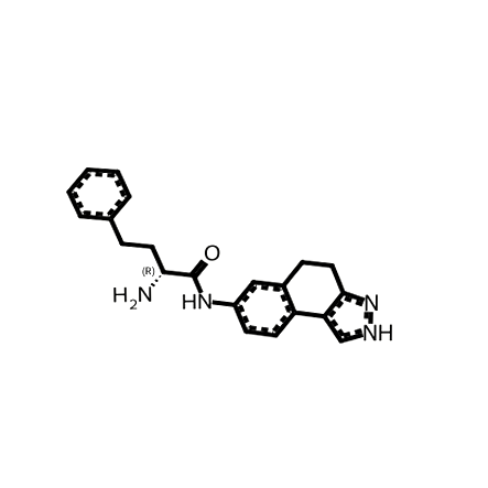 N[C@H](CCc1ccccc1)C(=O)Nc1ccc2c(c1)CCc1n[nH]cc1-2